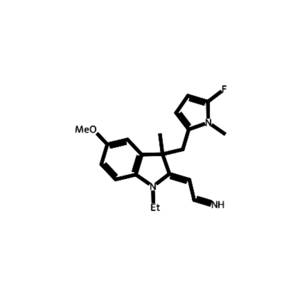 CCN1/C(=C\C=N)C(C)(Cc2ccc(F)n2C)c2cc(OC)ccc21